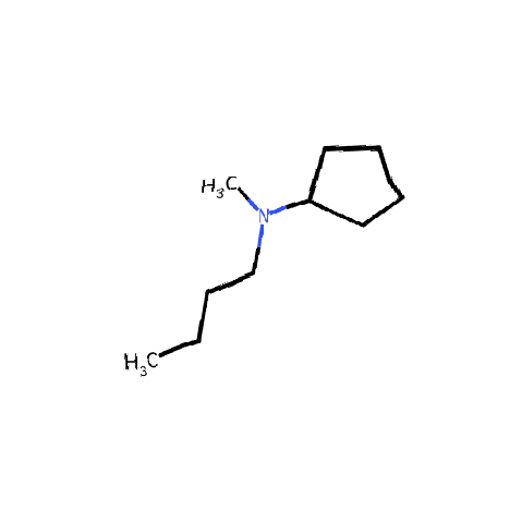 CCCCN(C)C1CCCC1